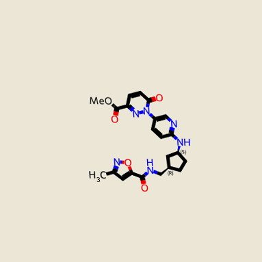 COC(=O)c1ccc(=O)n(-c2ccc(N[C@H]3CC[C@@H](CNC(=O)c4cc(C)no4)C3)nc2)n1